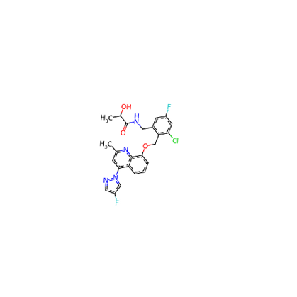 Cc1cc(-n2cc(F)cn2)c2cccc(OCc3c(Cl)cc(F)cc3CNC(=O)C(C)O)c2n1